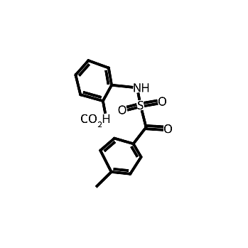 Cc1ccc(C(=O)S(=O)(=O)Nc2ccccc2C(=O)O)cc1